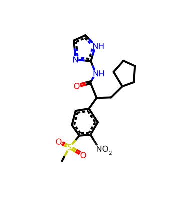 CS(=O)(=O)c1ccc(C(CC2CCCC2)C(=O)Nc2ncc[nH]2)cc1[N+](=O)[O-]